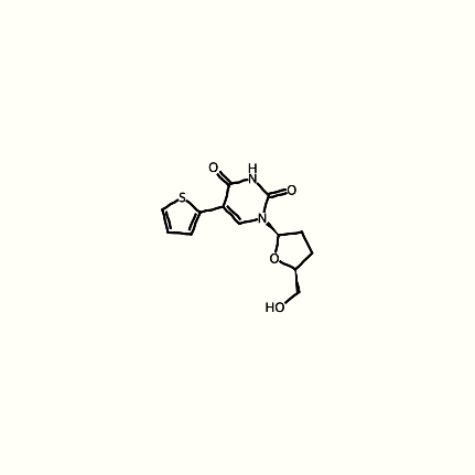 O=c1[nH]c(=O)n([C@H]2CC[C@@H](CO)O2)cc1-c1cccs1